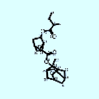 CCC(C)C(=O)OC1CC2CC(C(=O)OC3(C)C4CC5CC(C4)CC3C5)C1C2